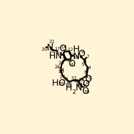 CO[C@H]1/C=C\C=C(/C)C(=O)NC2=CC(=O)C(NCCN(C)C)=C(C[C@@H](C)CC[C@H](O)[C@@H](C)/C=C(\C)[C@@H]1OC(N)=O)C2=O